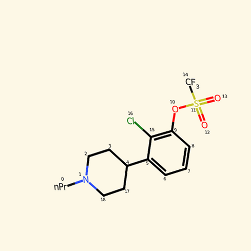 CCCN1CCC(c2cccc(OS(=O)(=O)C(F)(F)F)c2Cl)CC1